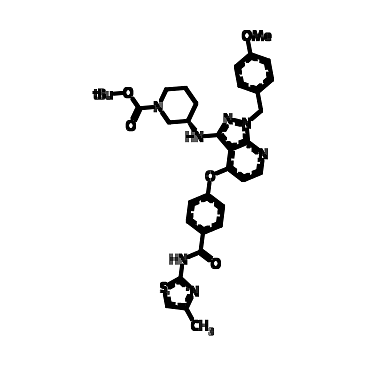 COc1ccc(Cn2nc(N[C@@H]3CCCN(C(=O)OC(C)(C)C)C3)c3c(Oc4ccc(C(=O)Nc5nc(C)cs5)cc4)ccnc32)cc1